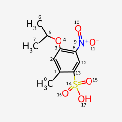 Cc1cc(OC(C)C)c([N+](=O)[O-])cc1S(=O)(=O)O